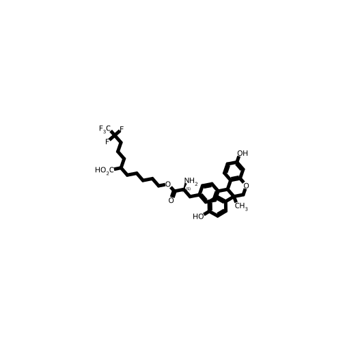 CC1(c2ccc(O)cc2)COc2cc(O)ccc2C1c1ccc(C[C@H](N)C(=O)OCCCCCC(CCCC(F)(F)C(F)(F)F)C(=O)O)cc1